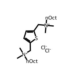 CCCCCCCC[N+](C)(C)Cc1ccc(C[N+](C)(C)CCCCCCCC)s1.[Cl-].[Cl-]